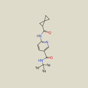 [2H]C([2H])([2H])NC(=O)c1ccc(NC(=O)C2CC23CC3)nc1